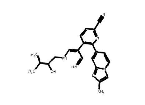 Cc1cn2ccc(-c3nc(C#N)ccc3/C(C=N)=C/NCC(O)C(C)C)cc2n1